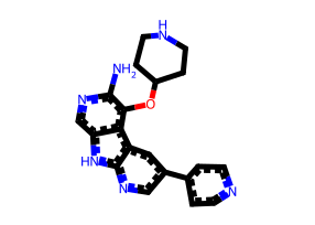 Nc1ncc2[nH]c3ncc(-c4ccncc4)cc3c2c1OC1CCNCC1